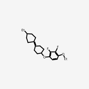 CCOc1ccc(OC2CCC(=C3CCC(CC)CC3)CC2)c(F)c1F